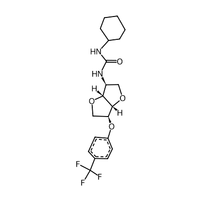 O=C(NC1CCCCC1)N[C@H]1CO[C@H]2[C@@H]1OC[C@@H]2Oc1ccc(C(F)(F)F)cc1